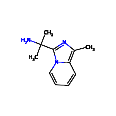 Cc1nc(C(C)(C)N)n2ccccc12